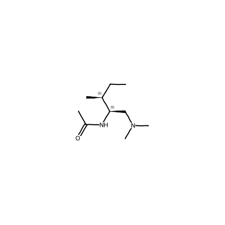 CC[C@H](C)[C@@H](CN(C)C)NC(C)=O